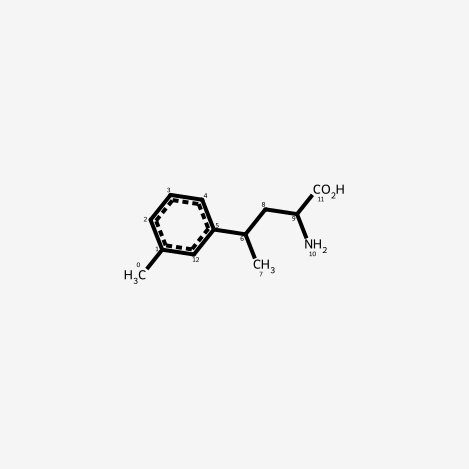 Cc1cccc(C(C)CC(N)C(=O)O)c1